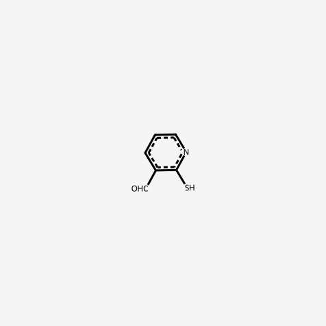 O=Cc1cccnc1S